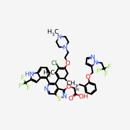 CC1=C(c2c(-c3cccc4[nH]c(C(F)(F)F)cc34)ncc3snc(O[C@H](Cc4ccccc4OCc4ccnn4CC(F)(F)F)C(=O)O)c23)C(C)CC(OCCN2CCN(C)CC2)=C1Cl